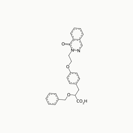 O=C(O)C(Cc1ccc(OCCn2ncc3ccccc3c2=O)cc1)OCc1ccccc1